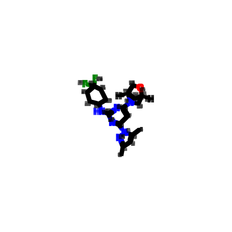 Cc1cc(C)n(-c2cc(N3C[C@@H]4C[C@H]3CO4)nc(NC3CCC(F)(F)CC3)n2)n1